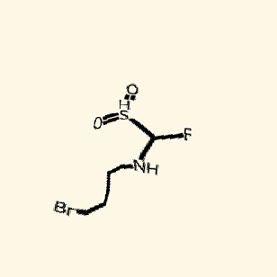 O=[SH](=O)C(F)NCCBr